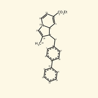 CCOC(=O)C1=CC2C(Cc3ccc(-c4ccccc4)cc3)C(C)=CN2C=C1